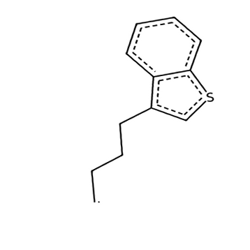 [CH2]CCCc1csc2ccccc12